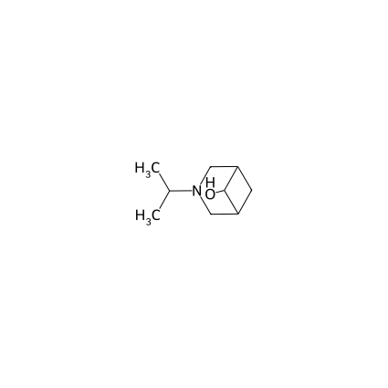 CC(C)N1CC2CC(C1)C2O